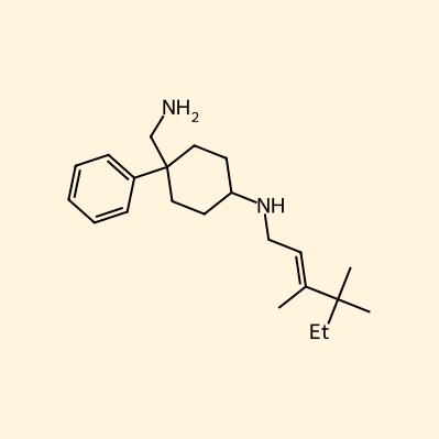 CCC(C)(C)/C(C)=C/CNC1CCC(CN)(c2ccccc2)CC1